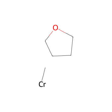 C1CCOC1.[CH3][Cr]